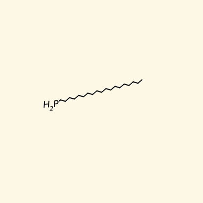 CCCCCCCCCCCCCCCCCCCP